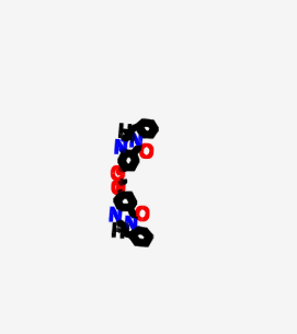 O=C1c2ccc(OCOc3ccc4c(c3)N=C[C@@H]3Cc5ccccc5N3C4=O)cc2N=C[C@@H]2Cc3ccccc3N12